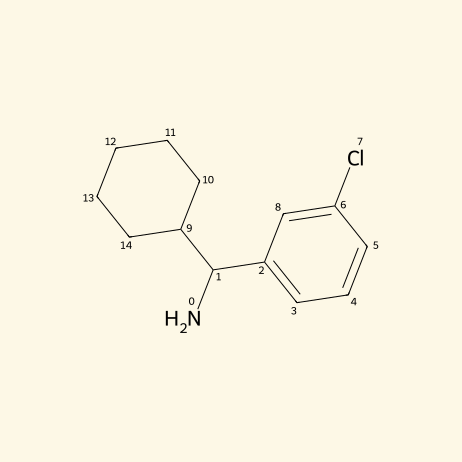 NC(c1cccc(Cl)c1)C1CCCCC1